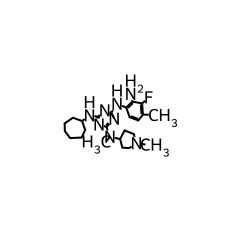 Cc1ccc(Nc2nc(NC3CCCCCC3)nc(N(C)C3CCN(C)CC3)n2)c(N)c1F